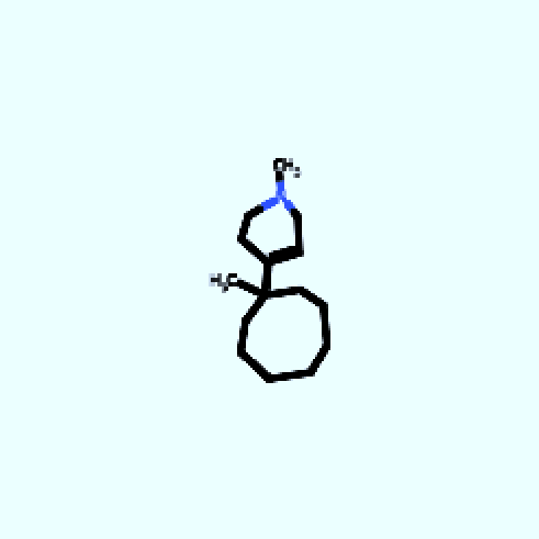 CN1CC=C(C2(C)CCCCCCC2)CC1